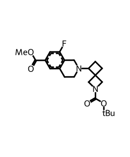 COC(=O)c1cc(F)c2c(c1)CCN(C1CCC13CN(C(=O)OC(C)(C)C)C3)C2